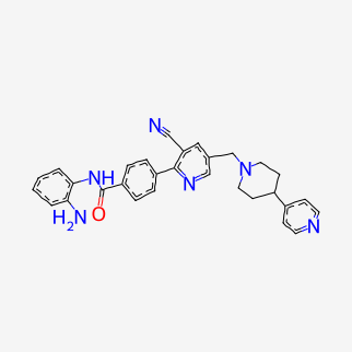 N#Cc1cc(CN2CCC(c3ccncc3)CC2)cnc1-c1ccc(C(=O)Nc2ccccc2N)cc1